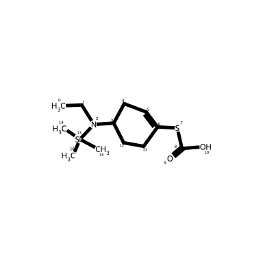 CCN(C1CC=C(SC(=O)O)CC1)[Si](C)(C)C